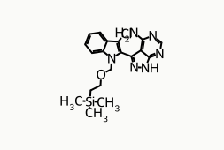 C[Si](C)(C)CCOCn1c(-c2n[nH]c3ncnc(N)c23)c(Cl)c2ccccc21